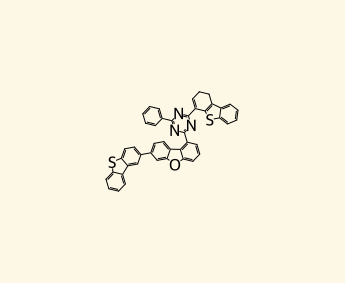 C1=C(c2nc(-c3ccccc3)nc(-c3cccc4oc5cc(-c6ccc7sc8ccccc8c7c6)ccc5c34)n2)c2sc3ccccc3c2CC1